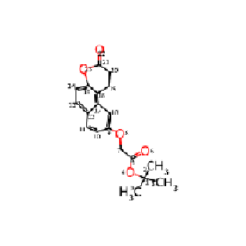 CC(C)(C)OC(=O)COc1ccc2ccc3c(c2c1)CCC(=O)O3